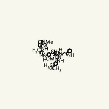 CNC(=O)c1c(Nc2nc(Nc3ccc(P(C)(=O)Cc4nc(Nc5ccc(P(C)(C)=O)cc5)nc(NCCc5c[nH]c6ccccc56)c4C(F)(F)F)cc3OC)ncc2C(F)(F)F)ncn1C